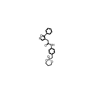 O=C(Cc1cnoc1-c1ccccc1)Nc1ccc(CP2(=O)OCCCO2)cc1